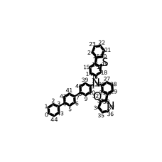 c1ccc(-c2ccc(-c3ccc(N(c4ccc5c(c4)sc4ccccc45)c4cccc5c4oc4cccnc45)cc3)cc2)cc1